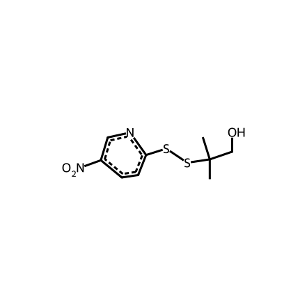 CC(C)(CO)SSc1ccc([N+](=O)[O-])cn1